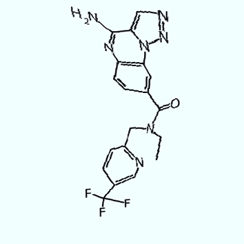 CCN(Cc1ccc(C(F)(F)F)cn1)C(=O)c1ccc2nc(N)c3cnnn3c2c1